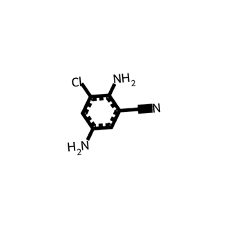 N#Cc1cc(N)cc(Cl)c1N